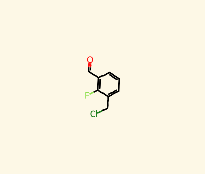 O=Cc1cccc(CCl)c1F